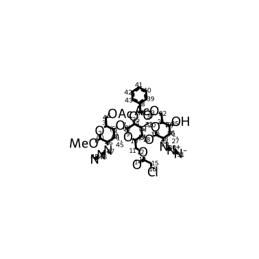 CO[C@H]1OC(COC(C)=O)[C@@H](O[C@@H]2OC(COC(=O)CCl)[C@@H](O[C@H]3OC(COC(C)=O)[C@@H](O)[C@H](C)C3N=[N+]=[N-])[C@H](C)C2OC(=O)c2ccccc2)[C@H](C)C1N=[N+]=[N-]